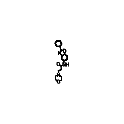 O=C(CCN1CCOCC1)Nc1ccc2oc(-c3ccccc3)nc2c1